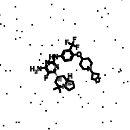 CC1(C)C[C@H](c2nc(Nc3ccc(OC4CCN(C5COC5)CC4)c(C(F)(F)F)c3)nc(N)c2F)C[C@@H]2CCCN21